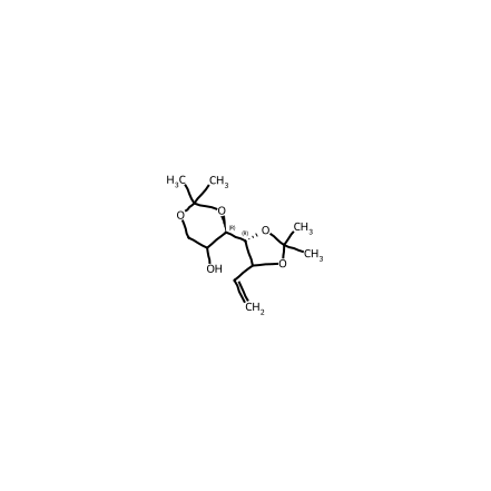 C=CC1OC(C)(C)O[C@H]1[C@@H]1OC(C)(C)OCC1O